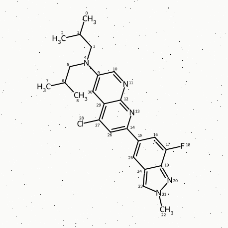 CC(C)CN(CC(C)C)c1cnc2nc(-c3cc(F)c4nn(C)cc4c3)cc(Cl)c2c1